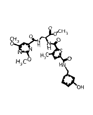 COC(=O)[C@H](CNC(=O)c1cc(OC)nc(OC)n1)NC(=O)c1sc(C(=O)NCc2cccc(O)c2)cc1C